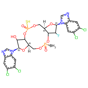 BP1(=O)OC[C@H]2O[C@@H](n3cnc4cc(Cl)c(Cl)cc43)C(O)C2OP(=O)(S)OC[C@H]2O[C@@H](n3cnc4cc(Cl)c(Cl)cc43)C(F)C2O1